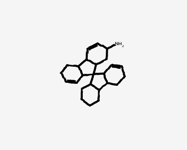 NC1C=CC2C3CCC=CC3C3(C4C=CCCC4C4CCCCC43)C2C1